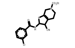 CCOC(=O)N1CCC2=C(C1)SC(NC(=O)c1cccc(Cl)c1)C2C#N